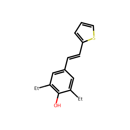 CCc1cc(C=Cc2cccs2)cc(CC)c1O